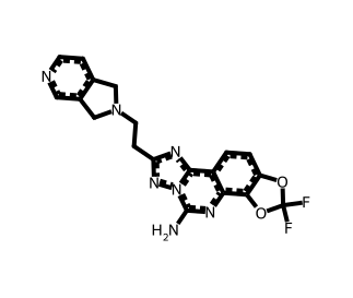 Nc1nc2c3c(ccc2c2nc(CCN4Cc5ccncc5C4)nn12)OC(F)(F)O3